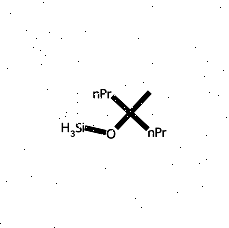 CCCC(C)(CCC)O[SiH3]